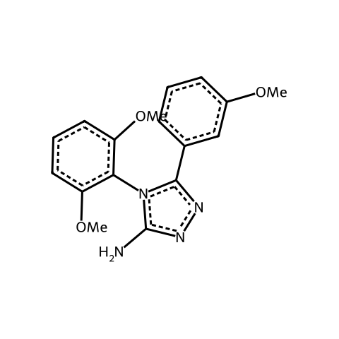 COc1cccc(-c2nnc(N)n2-c2c(OC)cccc2OC)c1